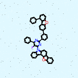 Ic1c(-c2ccccc2)nc(-c2cccc(-c3ccc4c(c3)oc3cccc(-c5ccccc5)c34)c2)nc1-n1c2ccccc2c2c3oc4ccccc4c3ccc21